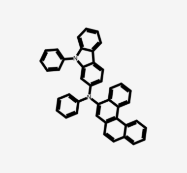 c1ccc(N(c2ccc3c4ccccc4n(-c4ccccc4)c3c2)c2cc3ccc4ccccc4c3c3ccccc23)cc1